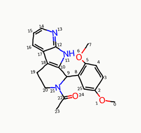 COc1ccc(OC)c(C2c3[nH]c4ncccc4c3CCN2C(C)=O)c1